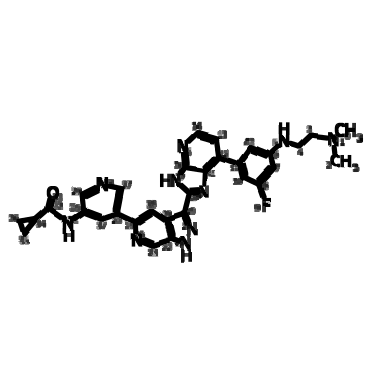 CN(C)CCNc1cc(F)cc(-c2ccnc3[nH]c(-c4n[nH]c5cnc(-c6cncc(NC(=O)C7CC7)c6)cc45)nc23)c1